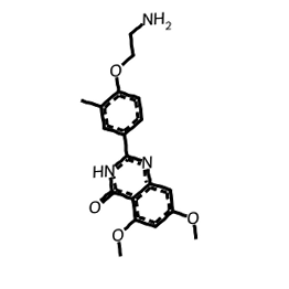 COc1cc(OC)c2c(=O)[nH]c(-c3ccc(OCCN)c(C)c3)nc2c1